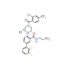 CC[C@@H]1CN(C(=O)c2ccc(C(F)(F)F)cc2Cl)CCN1c1ccc(-c2cccc(F)c2F)cc1C(=O)NCCN